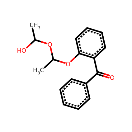 CC(O)OC(C)Oc1ccccc1C(=O)c1ccccc1